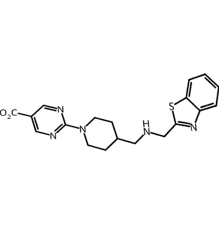 CCOC(=O)c1cnc(N2CCC(CNCc3nc4ccccc4s3)CC2)nc1